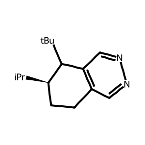 CC(C)[C@@H]1CCc2cnncc2C1C(C)(C)C